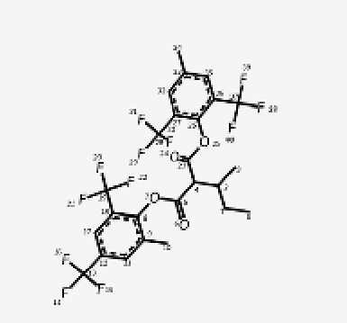 CCC(C)C(C(=O)Oc1c(C)cc(C(F)(F)F)cc1C(F)(F)F)C(=O)Oc1c(C(F)(F)F)cc(C)cc1C(F)(F)F